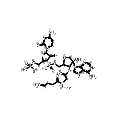 C=CCCC(=O)N(CCCCCC)CC(=O)O[C@@H]1C(COP(=O)(O)[C@@H]2C(COP(=O)(O)O)OC(n3ccc(N)nc3=O)C2I)OC[C@]1(O)n1cnc2c(N)ncnc21